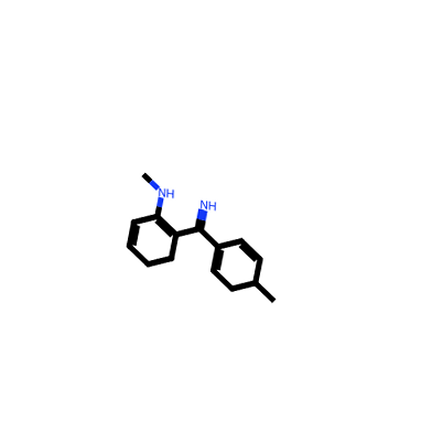 CNC1=C(C(=N)C2=CCC(C)C=C2)CCC=C1